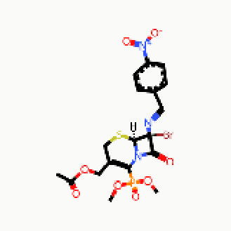 COP(=O)(OC)C1=C(COC(C)=O)CS[C@@H]2N1C(=O)[C@@]2(Br)N=Cc1ccc([N+](=O)[O-])cc1